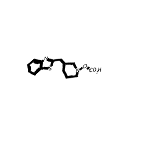 O=C(O)ON1CCCC(Cc2nc3ccccc3s2)C1